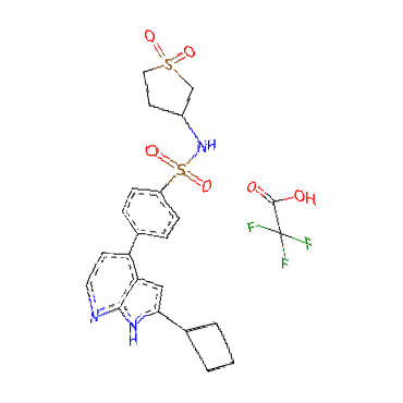 O=C(O)C(F)(F)F.O=S1(=O)CCC(NS(=O)(=O)c2ccc(-c3ccnc4[nH]c(C5CCC5)cc34)cc2)C1